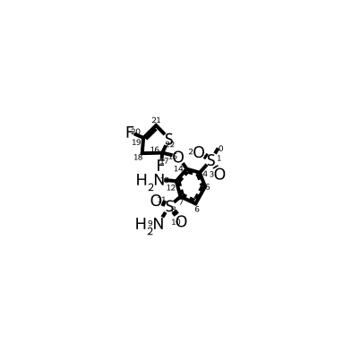 CS(=O)(=O)c1ccc(S(N)(=O)=O)c(N)c1OC1(F)CC(F)=CS1